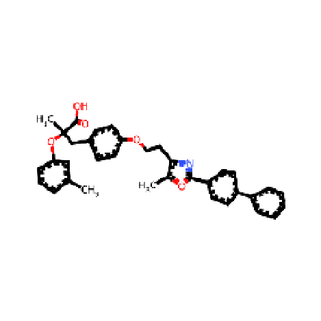 Cc1cccc(OC(C)(Cc2ccc(OCCc3nc(-c4ccc(-c5ccccc5)cc4)oc3C)cc2)C(=O)O)c1